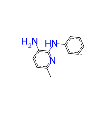 Cc1ccc(N)c(Nc2c[c]ccc2)n1